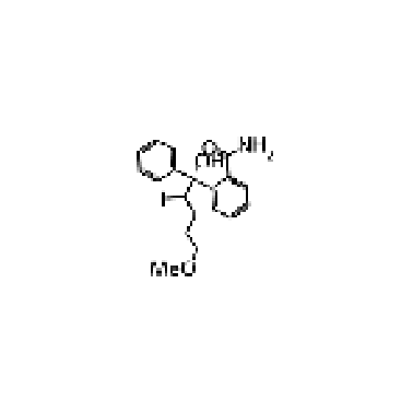 COCCCC(I)[C@@](O)(c1ccccc1)c1ccccc1C(N)=O